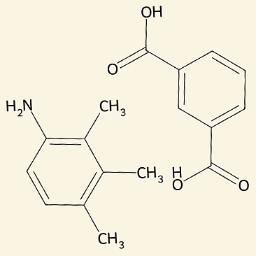 Cc1ccc(N)c(C)c1C.O=C(O)c1cccc(C(=O)O)c1